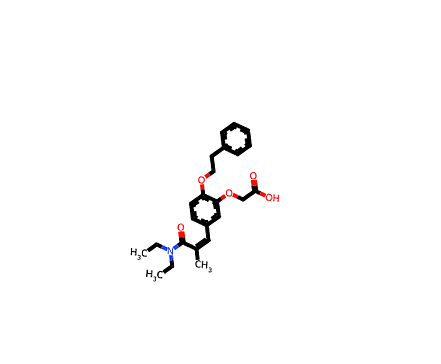 CCN(CC)C(=O)C(C)=Cc1ccc(OCCc2ccccc2)c(OCC(=O)O)c1